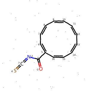 O=C(N=C=S)C1=C/C=C\C=C/C=C\C=C/C=C\1